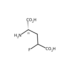 N[C@@H](CC(F)C(=O)O)C(=O)O